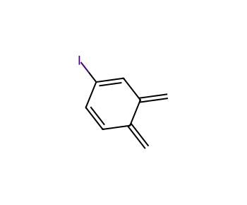 C=c1ccc(I)cc1=C